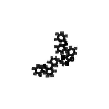 c1cc(-c2cnc3oc4cccc(-c5cccc6c5sc5ccccc56)c4c3n2)cc(-c2cccc3c2sc2ccccc23)c1